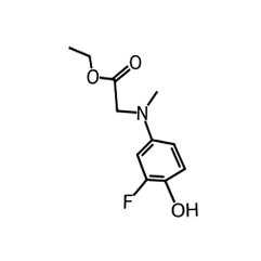 CCOC(=O)CN(C)c1ccc(O)c(F)c1